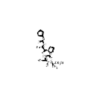 CCCC(NC(=O)[C@@H]1CCCN1C(=O)[C@@H](NC(=O)OC1CCCC1)C(C)(C)C)[PH](=O)O[C@@H](C)C(=O)OCC